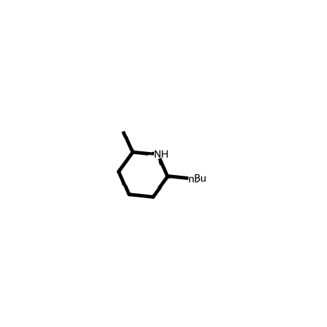 CCCCC1CCCC(C)N1